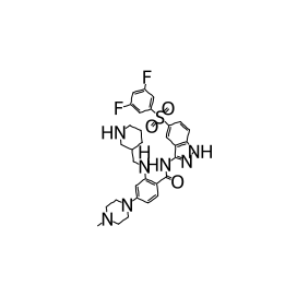 CN1CCN(c2ccc(C(=O)Nc3n[nH]c4ccc(S(=O)(=O)c5cc(F)cc(F)c5)cc34)c(NCC3CCCNC3)c2)CC1